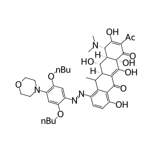 CCCCOc1cc(N2CCOCC2)c(OCCCC)cc1N=Nc1ccc(O)c2c1C(C)[C@@H]1C(=C(O)[C@]3(O)C(=O)C(C(C)=O)=C(O)[C@@H](N(C)C)[C@@H]3[C@H]1O)C2=O